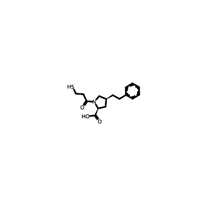 O=C(O)[C@@H]1C[C@H](CCc2ccccc2)CN1C(=O)CCS